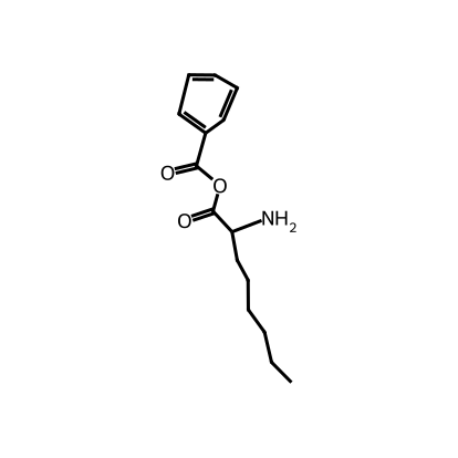 CCCCCCC(N)C(=O)OC(=O)c1ccccc1